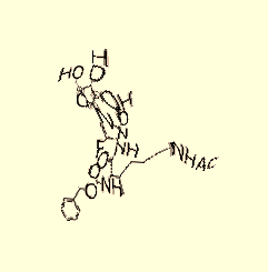 CC(=O)NCCCCC(NC(=O)OCc1ccccc1)C(=O)Nc1nc(=O)n([C@@H]2O[C@H](CO)C(O)[C@@H]2O)cc1F